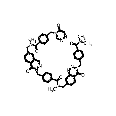 CN(C)C(=O)c1ccc(Cn2nnc3cc(CN(C)C(=O)c4ccc(Cn5ncc6cc(CN(C)C(=O)c7ccc(Cn8cnncc8=O)cc7)ccc6c5=O)cc4)ccc3c2=O)cc1